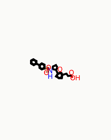 O=C(O)CCc1cccc2c1OC1CCC(NS(=O)(=O)c3ccc(-c4ccccc4)cc3)C21